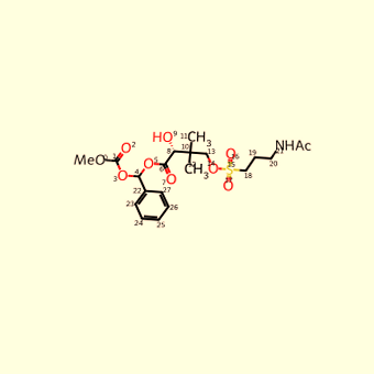 COC(=O)OC(OC(=O)[C@H](O)C(C)(C)COS(=O)(=O)CCCNC(C)=O)c1ccccc1